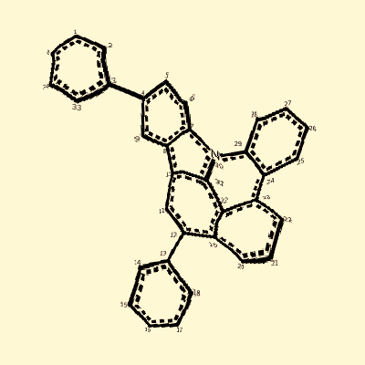 c1ccc(-c2ccc3c(c2)c2cc(-c4ccccc4)c4cccc5c6ccccc6n3c2c45)cc1